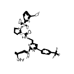 CC(O)CNc1nc(CNC(=O)[C@@H]2CCCN2S(=O)(=O)c2ccc(Cl)s2)cc(-c2ccc(C(F)(F)F)cc2)n1